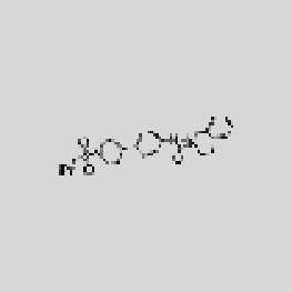 CC(C)CS(=O)(=O)N1CC=C(c2ccc(NC(=O)N3CCc4ccccc4C3)cc2)CC1